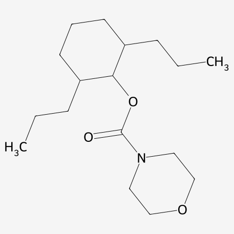 CCCC1CCCC(CCC)C1OC(=O)N1CCOCC1